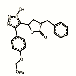 COCOc1ccc(-c2nnn(C)c2C2CN(Cc3ccccc3)C(=O)O2)cc1